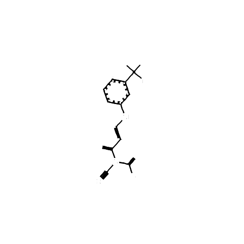 N#CN(C(=O)O)C(=O)C=CNc1cccc(C(F)(F)F)c1